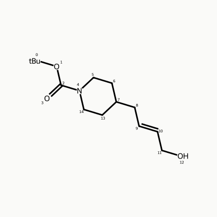 CC(C)(C)OC(=O)N1CCC(C/C=C/CO)CC1